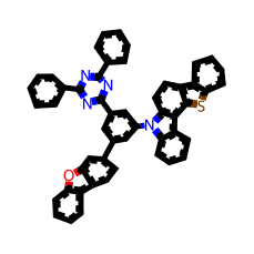 c1ccc(-c2nc(-c3ccccc3)nc(-c3cc(-c4ccc5c(c4)oc4ccccc45)cc(-n4c5ccccc5c5c6sc7ccccc7c6ccc54)c3)n2)cc1